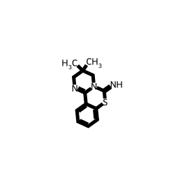 CC1(C)CN=C2c3ccccc3SC(=N)N2C1